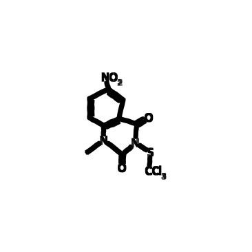 Cn1c(=O)n(SC(Cl)(Cl)Cl)c(=O)c2cc([N+](=O)[O-])ccc21